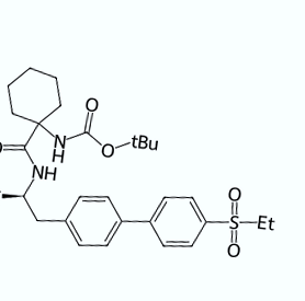 CCS(=O)(=O)c1ccc(-c2ccc(C[C@@H](C#N)NC(=O)C3(NC(=O)OC(C)(C)C)CCCCC3)cc2)cc1